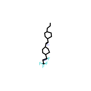 CCCC1CCC(/C=C/C2CCC(/C(F)=C/C(F)(F)F)CC2)CC1